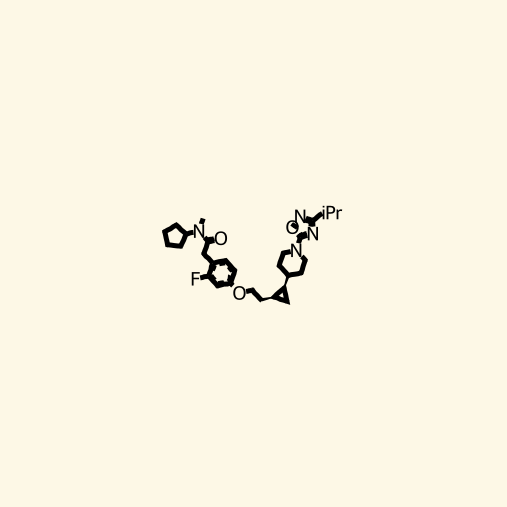 CC(C)c1noc(N2CCC([C@H]3C[C@H]3CCOc3ccc(CC(=O)N(C)C4CCCC4)c(F)c3)CC2)n1